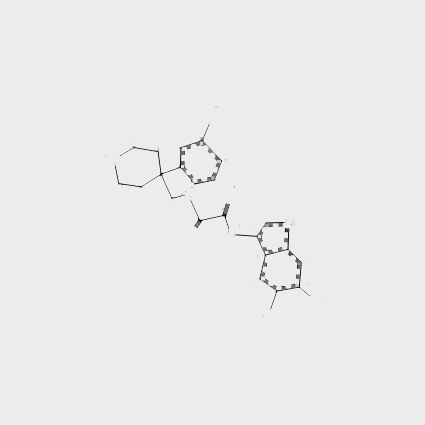 O=C(NCC1(c2cccc(Cl)c2)CCOCC1)C(=O)Nc1c[nH]c2cc(F)c(F)cc12